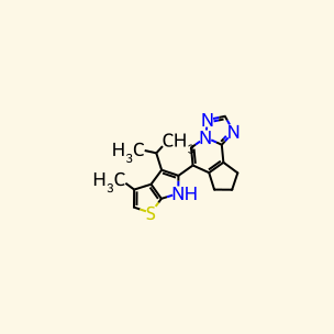 Cc1csc2[nH]c(-c3cn4ncnc4c4c3CCC4)c(C(C)C)c12